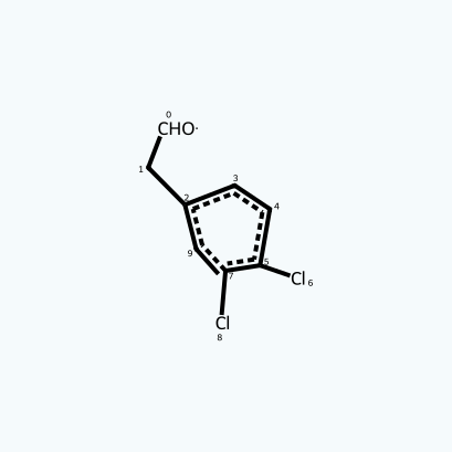 O=[C]Cc1ccc(Cl)c(Cl)c1